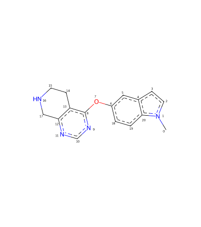 Cn1ccc2cc(Oc3ncnc4c3CCNC4)ccc21